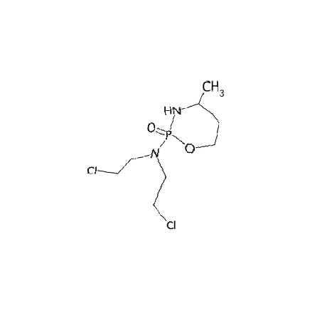 CC1CCOP(=O)(N(CCCl)CCCl)N1